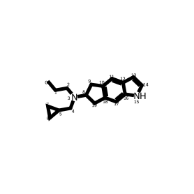 CCCN(CC1CC1)C1Cc2cc3cc[nH]c3cc2C1